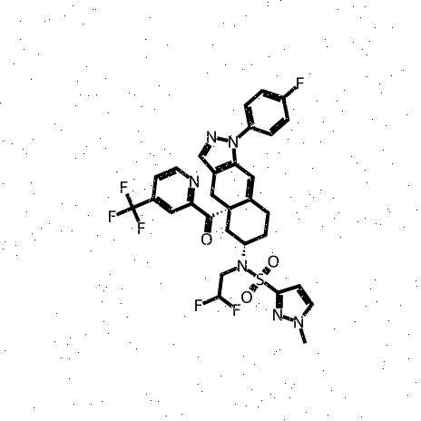 Cn1ccc(S(=O)(=O)N(CC(F)F)[C@H]2CCC3=Cc4c(cnn4-c4ccc(F)cc4)C[C@]3(C(=O)c3cc(C(F)(F)F)ccn3)C2)n1